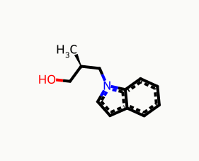 C[C@H](CO)Cn1ccc2ccccc21